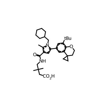 Cc1c(C(=O)NCC(C)(C)CC(=O)O)cc(-c2cc(C(C)(C)C)c3c(c2)C2(CCO3)CC2)n1CC1CCCCC1